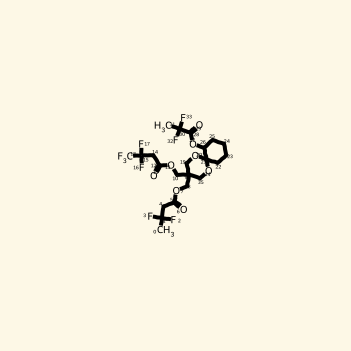 CC(F)(F)CC(=O)OCC1(COC(=O)CC(F)(F)C(F)(F)F)COC2(CCCCC2OC(=O)C(C)(F)F)OC1